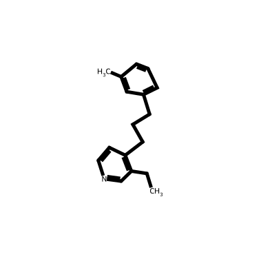 CCc1cnccc1CCCc1cccc(C)c1